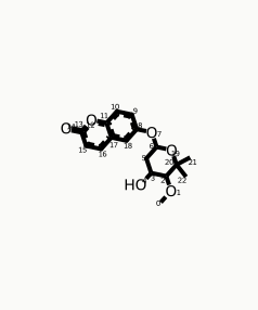 COC1C(O)CC(Oc2ccc3oc(=O)ccc3c2)OC1(C)C